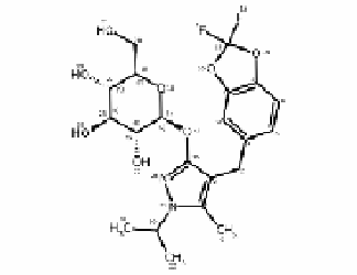 Cc1c(Cc2ccc3c(c2)OC(F)(F)O3)c(O[C@@H]2O[C@H](CO)[C@@H](O)[C@H](O)[C@H]2O)nn1C(C)C